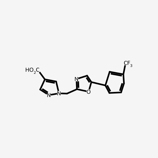 O=C(O)c1cnn(Cc2ncc(-c3cccc(C(F)(F)F)c3)o2)c1